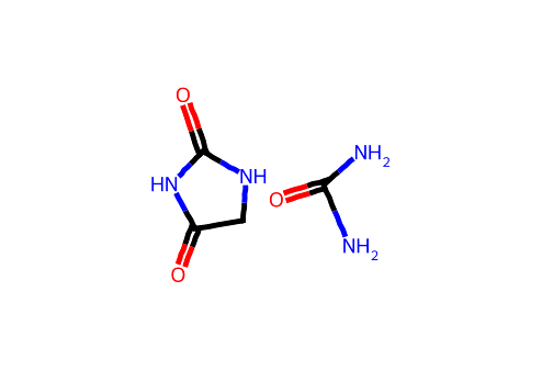 NC(N)=O.O=C1CNC(=O)N1